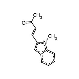 CC(=O)C=Cc1cc2ccccc2n1C